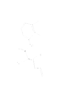 C=CCC(O)=C(C#N)C(=S)Nc1cccc(Cl)c1Cl